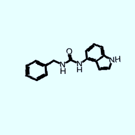 O=C(NCc1ccccc1)Nc1cccc2[nH]ccc12